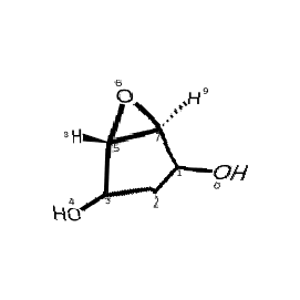 OC1CC(O)[C@@H]2O[C@@H]12